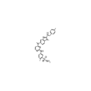 Cc1ccc(CNc2nc3cc(N(C)c4ccnc(Nc5ccc(C)c(S(N)(=O)=O)c5)n4)ccc3n2C)cc1